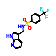 O=S(=O)(NCc1c[nH]c2ncccc12)c1ccc(C(F)(F)F)cc1